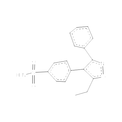 CCc1onc(-c2ccccc2)c1-c1ccc(S(N)(=O)=O)cc1